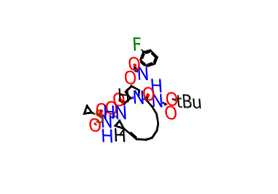 CC(C)(C)OC(=O)N[C@H]1CCCCC/C=C\[C@@H]2C[C@@]2(C(=O)NS(=O)(=O)C2CC2)NC(=O)[C@@H]2C[C@@H](Oc3nc4cccc(F)c4o3)CN2C1=O